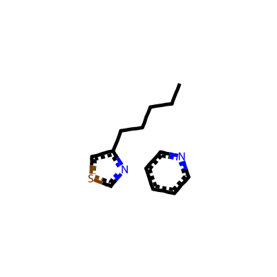 CCCCCc1cscn1.c1ccncc1